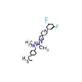 C/N=C(Cc1ccc(C)cc1)\N=C(/C)N1CC2(CCN(C3C=C(F)CC(F)C3)CC2)C1